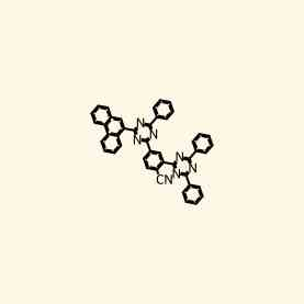 N#Cc1ccc(-c2nc(-c3ccccc3)nc(-c3cc4ccccc4c4ccccc34)n2)cc1-c1nc(-c2ccccc2)nc(-c2ccccc2)n1